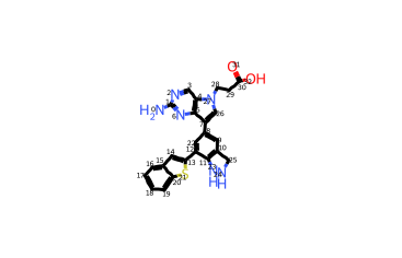 Nc1ncc2c(n1)c(-c1cc3c(c(-c4cc5ccccc5s4)c1)NNC3)cn2CCC(=O)O